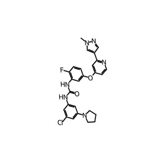 Cn1cc(-c2cc(Oc3ccc(F)c(NC(=O)Nc4cc(Cl)cc(N5CCCC5)c4)c3)ccn2)cn1